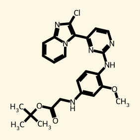 COc1cc(NCC(=O)OC(C)(C)C)ccc1Nc1nccc(-c2c(Cl)nc3ccccn23)n1